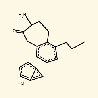 CCCc1cccc2c1CCC(N)C(=O)C2.Cl.c1cc2cc-2c1